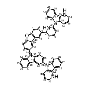 C1=CC(c2ccc3oc4ccc(-n5c6ccccc6c6cc(-n7c8c(c9ccccc97)NCC=C8)ccc65)cc4c3c2)NC(n2c3c(c4ccccc42)NCC=C3)=C1